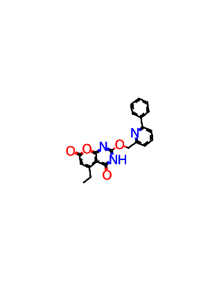 CCc1cc(=O)oc2nc(OCc3cccc(-c4ccccc4)n3)[nH]c(=O)c12